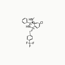 CNC(=O)[C@@H](N[C@H](CCc1ccc(C(F)(F)F)cc1)c1ccc(Cl)cc1)c1ccccc1